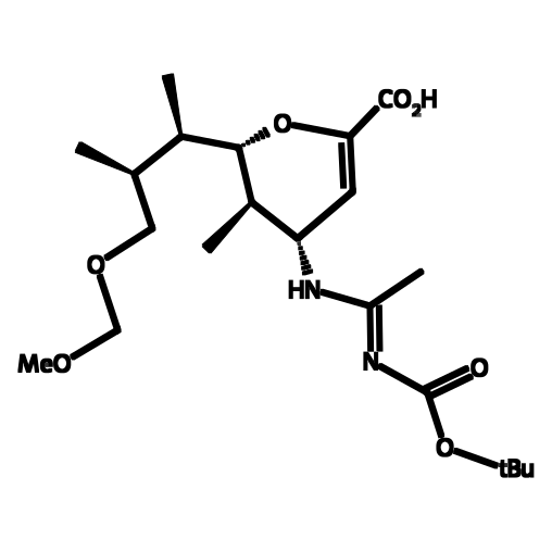 COCOC[C@@H](C)[C@@H](C)[C@@H]1OC(C(=O)O)=C[C@H](N/C(C)=N/C(=O)OC(C)(C)C)[C@H]1C